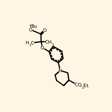 CCOC(=O)C1CCCN(c2cccc(OC(C)(C)C(=O)OC(C)(C)C)c2)C1